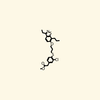 CCCc1c(OCCCSc2ccc(CC(=O)OC)cc2Cl)ccc2c(CC)nsc12